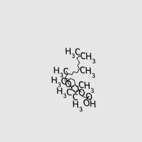 Cc1c(C)c2c(c(C)c1OCC(=O)O)CC[C@@](C)(CC(C)CCCC(C)CCCC(C)C)O2